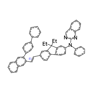 CCC1(CC)c2cc(/C=C/c3cc4ccccc4cc3-c3ccc(-c4ccccc4)cc3)ccc2-c2ccc(N(c3ccccc3)c3ncc4ccccc4n3)cc21